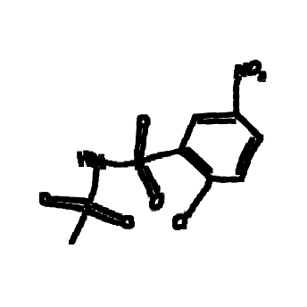 CS(=O)(=O)NS(=O)(=O)c1cc([N+](=O)[O-])ccc1Cl